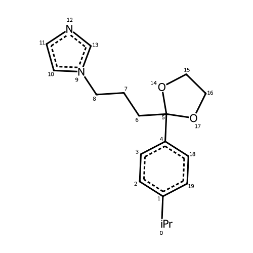 CC(C)c1ccc(C2(CCCn3ccnc3)OCCO2)cc1